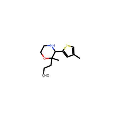 Cc1csc(C2NCCOC2(C)CCC=O)c1